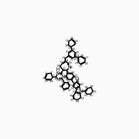 C1=CCC(C2N=C(c3ccccc3)N=C(C3CC=C(Cc4cc(-c5ccccc5)cc(C5CC=CCC5)c4)C=NC3c3ccc4c(c3)oc3cc5c(cc34)c3c(n5C4=CCCCC4)CCC=C3)N2)C=C1